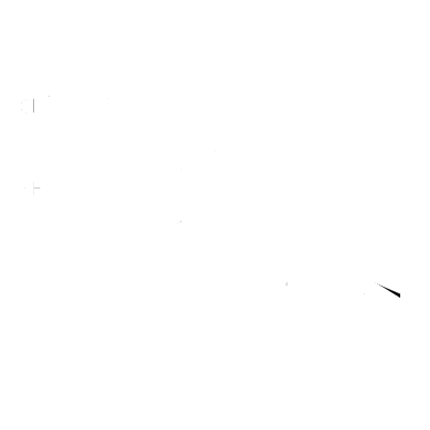 C=C[C@H]1CC[C@H](c2ccc(-c3ccc(Cl)c(F)c3)cc2)CC1